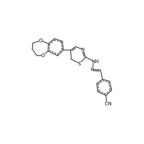 N#Cc1ccc(/C=N/NC2=NC=C(c3ccc4c(c3)OCCCO4)CS2)cc1